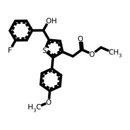 CCOC(=O)Cc1cc(C(O)c2cccc(F)c2)sc1-c1ccc(OC)cc1